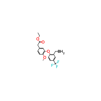 BCc1cc(C(F)(F)F)ccc1Oc1cc(CC(=O)OCC)ccc1OC